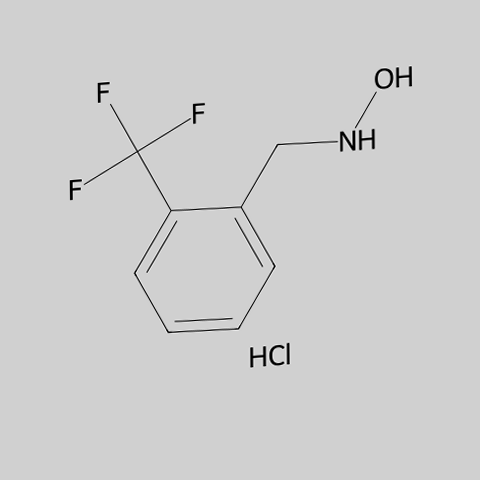 Cl.ONCc1ccccc1C(F)(F)F